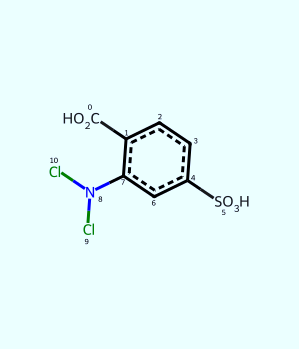 O=C(O)c1ccc(S(=O)(=O)O)cc1N(Cl)Cl